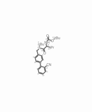 CCCCN(Cc1ccc(-c2ccccc2C#N)cc1)C(=O)C(NC(=O)OC(C)(C)C)C(C)C